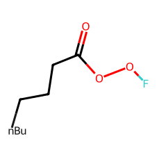 CCCCCCCC(=O)OOF